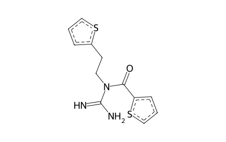 N=C(N)N(CCc1cccs1)C(=O)c1cccs1